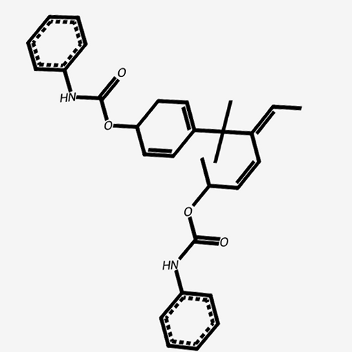 C/C=C(\C=C/C(C)OC(=O)Nc1ccccc1)C(C)(C)C1=CCC(OC(=O)Nc2ccccc2)C=C1